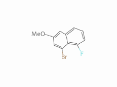 COc1cc(Br)c2c(F)cccc2c1